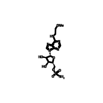 COCCNc1ncnc2c1ncn2[C@@H]1O[C@H](COS(N)(=O)=O)[C@@H](O)[C@H]1O